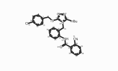 CCCCc1nnc(SCc2ccc(Cl)cc2)n1Cc1ccccc1NC(=O)c1ccccc1C#N